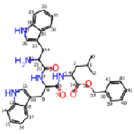 CC(C)CC(NC(=O)C(Cc1c[nH]c2ccccc12)NC(=O)C(N)Cc1c[nH]c2ccccc12)C(=O)OCc1ccccc1